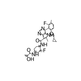 Cc1ccc(OCC2CC2)c(-c2ncnc3c(C(=O)N[C@@H]4CC[C@H](NC(=O)[C@H](C)O)C[C@H]4F)c(C)[nH]c23)c1F